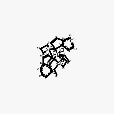 C[CH]=[Hf]([Cl])([Cl])([C]1([Si]2(CC)CCC2)C=Cc2ccccc21)[C]1([Si]2(CC)CCC2)C=Cc2ccccc21